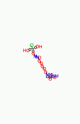 O=C1CCC(N2Cc3c(NCCOCCOCCOCCOCCOCCC(=O)N4CCN(CCOc5ccc(C(=C(CCCl)c6ccc(O)cc6)c6ccc(O)cc6)cc5)CC4)cccc3C2=O)C(=O)N1